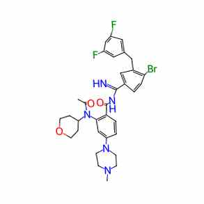 CC(=O)N(c1cc(N2CCN(C)CC2)ccc1C(=O)NC(=N)c1ccc(Br)c(Cc2cc(F)cc(F)c2)c1)C1CCOCC1